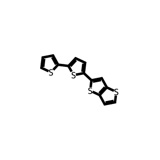 c1csc(-c2ccc(-c3cc4sccc4s3)s2)c1